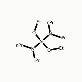 CCCN(C(C)C)[Si](OCC)(OCC)N(CCC)C(C)C